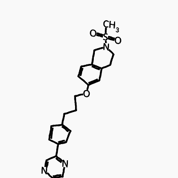 CS(=O)(=O)N1CCc2cc(OCCCc3ccc(-c4cnccn4)cc3)ccc2C1